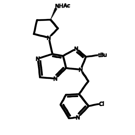 CC(=O)N[C@H]1CCN(c2ncnc3c2nc(C(C)(C)C)n3Cc2cccnc2Cl)C1